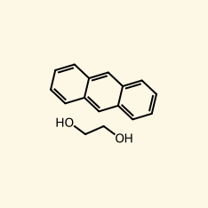 OCCO.c1ccc2cc3ccccc3cc2c1